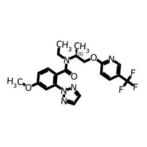 CCN(C(=O)c1ccc(OC)cc1-n1nccn1)[C@@H](C)COc1ccc(C(F)(F)F)cn1